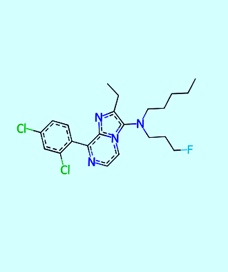 CCCCCN(CCCF)c1c(CC)nc2c(-c3ccc(Cl)cc3Cl)nccn12